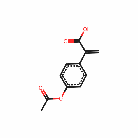 C=C(C(=O)O)c1ccc(OC(C)=O)cc1